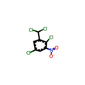 O=[N+]([O-])c1cc(Cl)cc(C(Cl)Cl)c1Cl